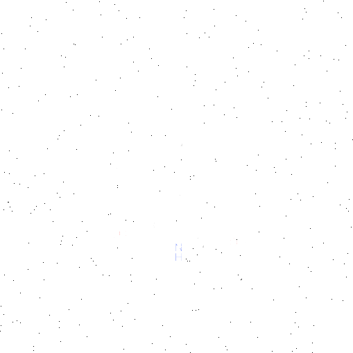 CC1=C(c2ccc(C)cc2C)C(=O)NC1=O